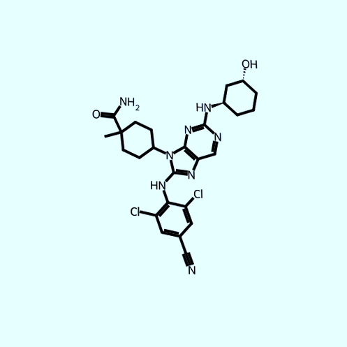 CC1(C(N)=O)CCC(n2c(Nc3c(Cl)cc(C#N)cc3Cl)nc3cnc(N[C@@H]4CCC[C@@H](O)C4)nc32)CC1